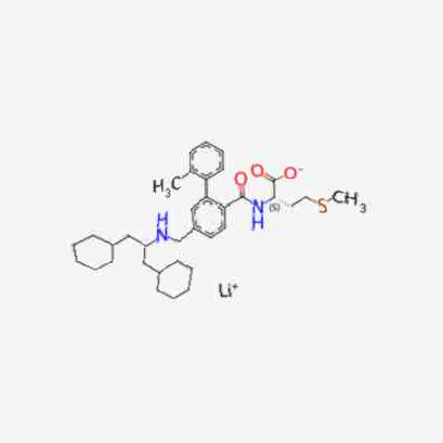 CSCC[C@H](NC(=O)c1ccc(CNC(CC2CCCCC2)CC2CCCCC2)cc1-c1ccccc1C)C(=O)[O-].[Li+]